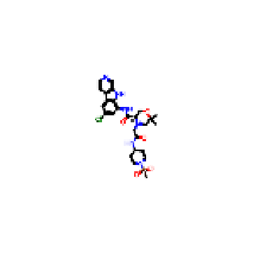 CC1(C)CN(CC(=O)NC2CCN(S(C)(=O)=O)CC2)[C@H](C(=O)Nc2cc(Cl)cc3c2[nH]c2cnccc23)CO1